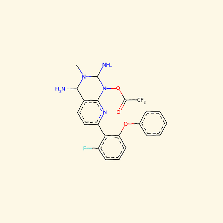 CN1C(N)c2ccc(-c3c(F)cccc3Oc3ccccc3)nc2N(OC(=O)C(F)(F)F)C1N